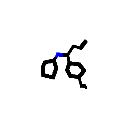 C=CCC(=Nc1ccccc1)c1ccc([N+](=O)[O-])cc1